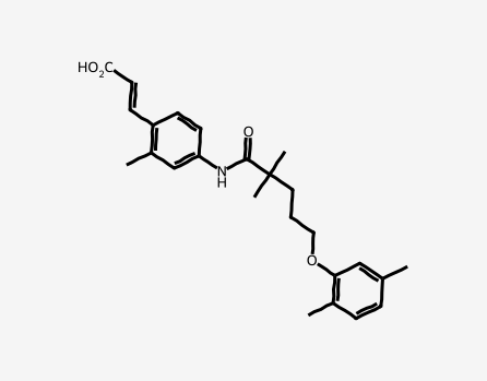 Cc1ccc(C)c(OCCCC(C)(C)C(=O)Nc2ccc(C=CC(=O)O)c(C)c2)c1